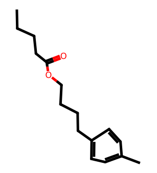 CCCCC(=O)OCCCCc1ccc(C)cc1